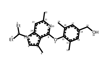 CCC(CC)n1cc(C)c2c(Oc3c(C)cc(CO)cc3C)nc(C)cc21